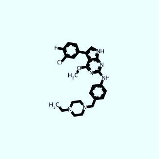 CCN1CCN(Cc2ccc(Nc3nc(OC)c4c(-c5ccc(F)c(Cl)c5)c[nH]c4n3)cc2)CC1